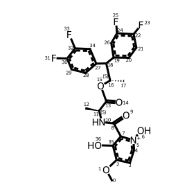 COc1cc[n+](O)c(C(=O)N[C@@H](C)C(=O)O[C@@H](C)C(c2ccc(F)c(F)c2)c2ccc(F)c(F)c2)c1O